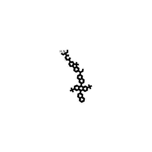 C=C(/C=C\C(=C)C(N)(CC)CC)c1ccc2c(c1)C(C)(C)c1cc(C(CC)c3ccc4cc(-c5c6ccc(C(C)(C)C)cc6c(-c6ccc7ccccc7c6)c6ccc(C(C)(C)C)cc56)ccc4c3)ccc1-2